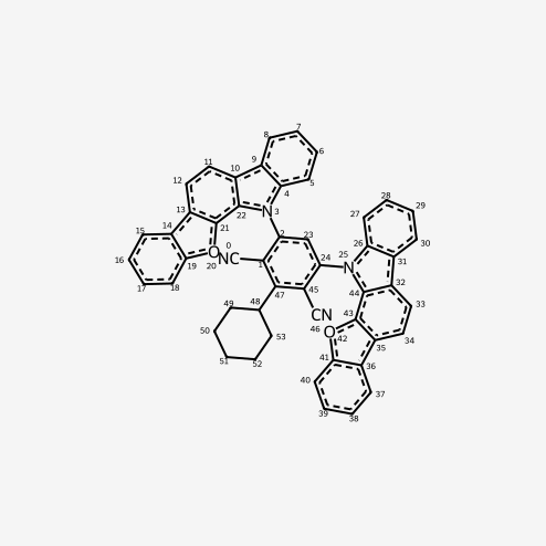 N#Cc1c(-n2c3ccccc3c3ccc4c5ccccc5oc4c32)cc(-n2c3ccccc3c3ccc4c5ccccc5oc4c32)c(C#N)c1C1CCCCC1